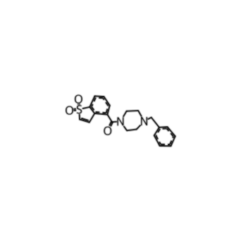 O=C(c1cccc2c1C=CS2(=O)=O)N1CCN(Cc2ccccc2)CC1